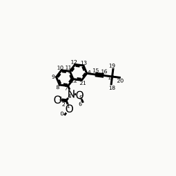 COC(=O)N(OC)c1cccc2ccc(C#CC(C)(C)C)cc12